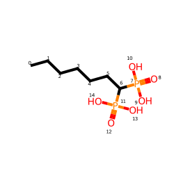 CCCCCCC(P(=O)(O)O)P(=O)(O)O